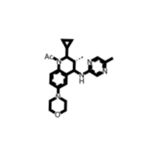 CC(=O)N1c2ccc(N3CCOCC3)cc2C(Nc2cnc(C)cn2)[C@@H](C)C1C1CC1